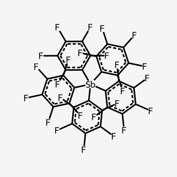 Fc1c(F)c(F)[c]([Sb]([c]2c(F)c(F)c(F)c(F)c2F)([c]2c(F)c(F)c(F)c(F)c2F)([c]2c(F)c(F)c(F)c(F)c2F)[c]2c(F)c(F)c(F)c(F)c2F)c(F)c1F